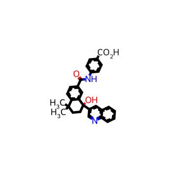 CC1(C)CCC(O)(c2cnc3ccccc3c2)c2cc(C(=O)Nc3ccc(C(=O)O)cc3)ccc21